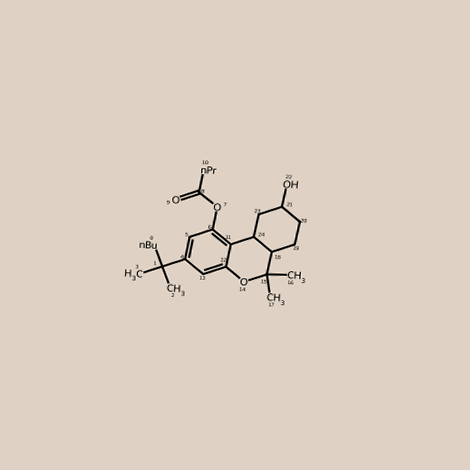 CCCCC(C)(C)c1cc(OC(=O)CCC)c2c(c1)OC(C)(C)C1CCC(O)CC21